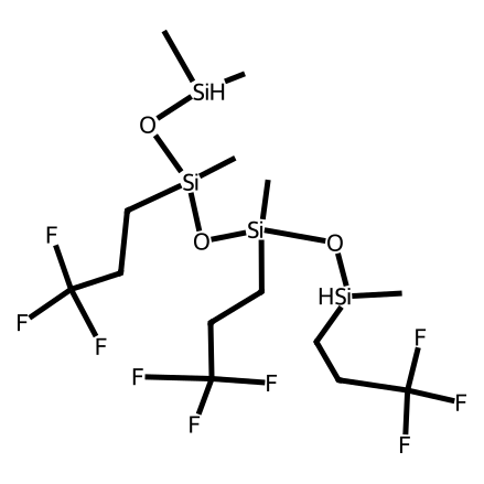 C[SiH](C)O[Si](C)(CCC(F)(F)F)O[Si](C)(CCC(F)(F)F)O[SiH](C)CCC(F)(F)F